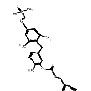 Cc1cc(OCP(=O)(O)O)cc(C)c1Cc1ccc(O)c(NC(=O)OCc2ccccc2)c1